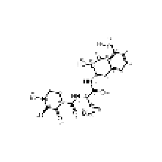 CCN1CCN(C(=O)N[C@H](C(=O)N[C@H]2Cc3cccc(C(=O)O)c3OB2O)[C@H](C)OC)C(=O)C1=O